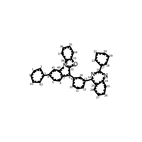 c1ccc(-c2ccc3c(-c4cccc(-c5nc(-c6ccccc6)nc6ccccc56)c4)c4oc5ccccc5n4c3c2)cc1